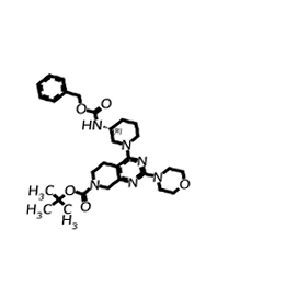 CC(C)(C)OC(=O)N1CCc2c(nc(N3CCOCC3)nc2N2CCC[C@@H](NC(=O)OCc3ccccc3)C2)C1